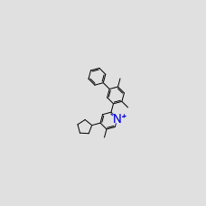 Cc1cc(C)c(-c2cc(C3CCCC3)c(C)c[n+]2C)cc1-c1ccccc1